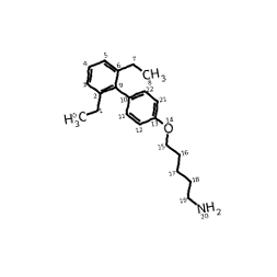 CCc1cccc(CC)c1-c1ccc(OCCCCCN)cc1